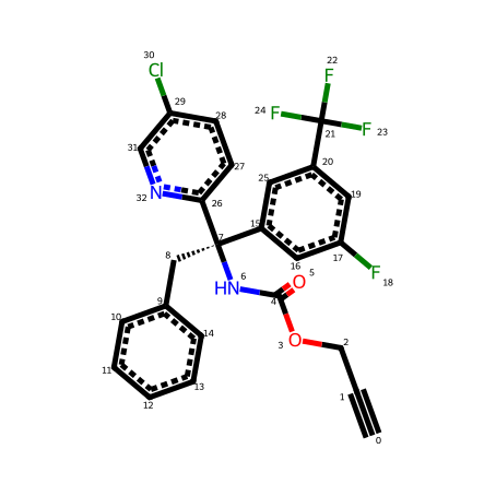 C#CCOC(=O)N[C@](Cc1ccccc1)(c1cc(F)cc(C(F)(F)F)c1)c1ccc(Cl)cn1